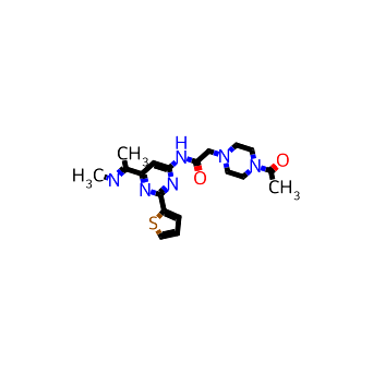 CN=C(C)c1cc(NC(=O)CN2CCN(C(C)=O)CC2)nc(-c2cccs2)n1